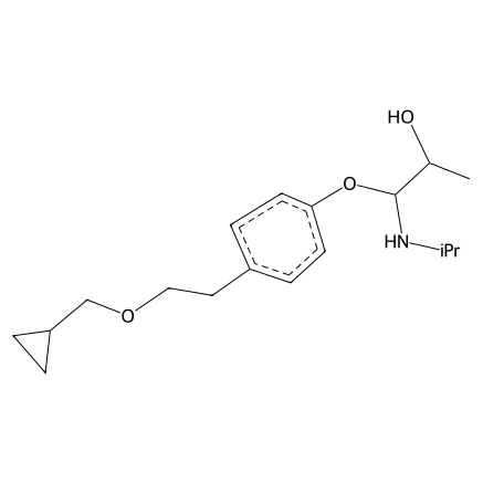 CC(C)NC(Oc1ccc(CCOCC2CC2)cc1)C(C)O